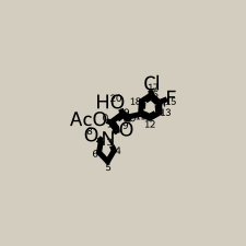 CC(=O)Oc1c(N2CCCC2=O)oc(-c2ccc(F)c(Cl)c2)c1O